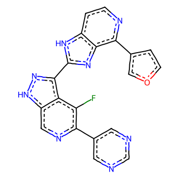 Fc1c(-c2cncnc2)ncc2[nH]nc(-c3nc4c(-c5ccoc5)nccc4[nH]3)c12